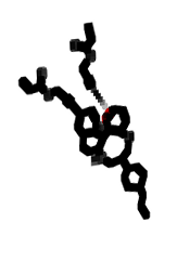 C=CC(=O)OCC#Cc1ccc2c(c1)CC[C@H]1OCC(C3CCC(CCC)CC3)COc3ccc4c(c3[C@@H]21)CC[C@H](C#CCOC(=O)C=C)C4